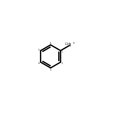 [124I]c1ccccc1